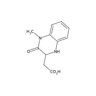 CN1C(=O)C(CC(=O)O)Nc2ccccc21